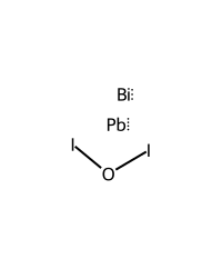 IOI.[Bi].[Pb]